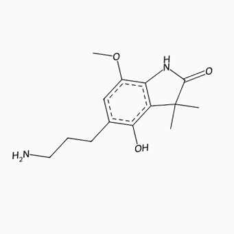 COc1cc(CCCN)c(O)c2c1NC(=O)C2(C)C